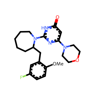 COc1ccc(F)cc1CC1CCCCCN1c1nc(N2CCOCC2)cc(=O)[nH]1